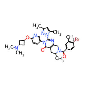 Cc1cc(C)n(-c2nc3c(c(=O)n2-c2ccc(O[C@H]4C[C@H](N(C)C)C4)nc2)CC(C)N(C(=O)c2ccc(Br)c(C)c2)C3)n1